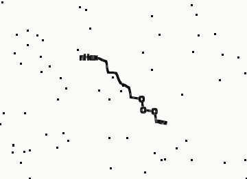 C=COOOCCCCCCCCCCCC